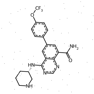 NC(=O)c1cc(-c2ccc(OC(F)(F)F)cc2)cc2c(N[C@H]3CCCNC3)ncnc12